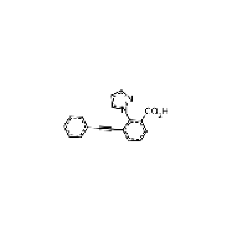 O=C(O)c1cccc(C#Cc2ccccc2)c1-n1cccn1